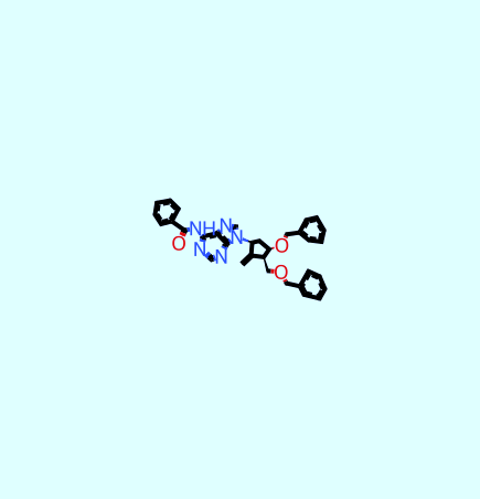 C=C1[C@H](COCc2ccccc2)[C@@H](OCc2ccccc2)C[C@@H]1n1cnc2c(NC(=O)c3ccccc3)ncnc21